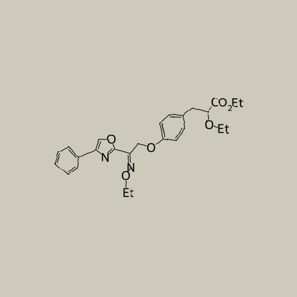 CCON=C(COc1ccc(CC(OCC)C(=O)OCC)cc1)c1nc(-c2ccccc2)co1